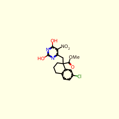 COC(=O)C1(Cc2nc(O)nc(O)c2[N+](=O)[O-])CCCc2ccc(Cl)cc21